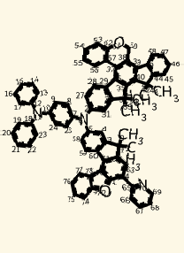 CC1(C)c2cc(N(c3ccc(N(c4ccccc4)c4ccccc4)cc3)c3ccc4c(c3)C(C)(C)c3c-4c4c(c5c3C(C)(C)c3ccccc3-5)COc3ccccc3-4)ccc2-c2c1cc(-c1ccccn1)c1oc3ccccc3c21